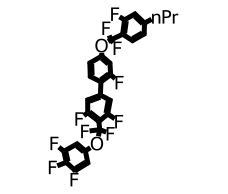 CCCc1ccc(C(F)(F)Oc2ccc(-c3cc(F)c(C(F)(F)Oc4cc(F)c(F)c(F)c4)c(F)c3)c(F)c2)c(F)c1